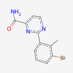 Cc1c(Br)cccc1-c1nccc(C(N)=O)n1